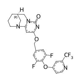 O=c1nc(OCc2cc(F)c(Oc3ccnc(C(F)(F)F)c3)c(F)c2)cc2n1C[C@@H]1CCCN2C1